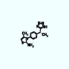 CC1=CSC(N)N1c1ccc([C@@H](C)c2nnn[nH]2)cc1